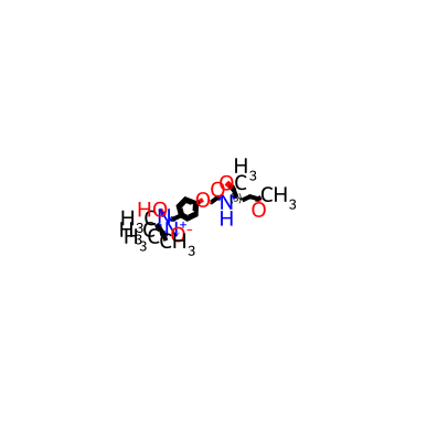 CC(=O)CC[C@H](NC(=O)COc1ccc(C2=[N+]([O-])C(C)(C)C(C)(C)N2O)cc1)C(C)=O